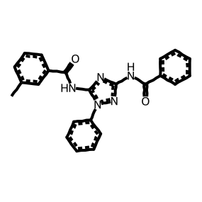 Cc1cccc(C(=O)Nc2nc(NC(=O)c3ccccc3)nn2-c2ccccc2)c1